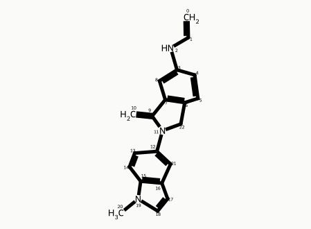 C=CNc1ccc2c(c1)C(=C)N(c1ccc3c(ccn3C)c1)C2